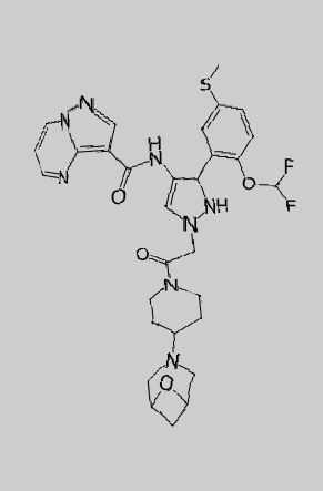 CSc1ccc(OC(F)F)c(C2NN(CC(=O)N3CCC(N4CC5CC(C4)O5)CC3)C=C2NC(=O)c2cnn3cccnc23)c1